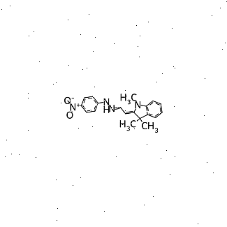 CN1C(=CC=NNc2ccc([N+](=O)[O-])cc2)C(C)(C)c2ccccc21